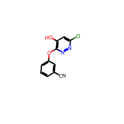 N#Cc1cccc(Oc2nnc(Cl)cc2O)c1